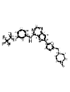 CN1CCN(Cc2ccc(-c3cc4ncnc(Nc5cccc(OC(=O)C(F)(F)F)c5)c4s3)o2)CC1